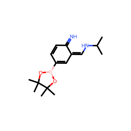 CC(C)N/C=C1/C=C(B2OC(C)(C)C(C)(C)O2)C=CC1=N